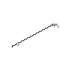 C=CCCOCCCCCCCCCCCCCCCCCCCCCCCN